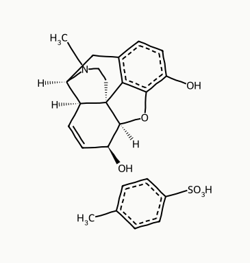 CN1CC[C@]23c4c5ccc(O)c4O[C@H]2[C@@H](O)C=C[C@H]3[C@H]1C5.Cc1ccc(S(=O)(=O)O)cc1